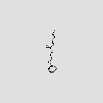 CC=CC=CC(=O)OCCOc1ccccc1